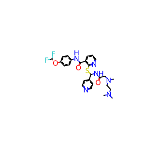 CN(C)CCN(C)CC(=O)NC(Sc1ncccc1C(=O)Nc1ccc(OC(F)F)cc1)c1ccncc1